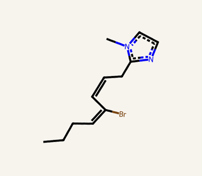 CCC/C=C(Br)\C=C/Cc1nccn1C